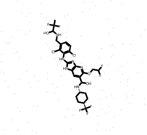 CC(F)(F)C(O)NCc1ccc(Cl)c(Nc2nc3nc(OCC(F)F)c(C(O)N[C@H]4CC[C@H](C(F)(F)F)CC4)cc3[nH]2)c1Cl